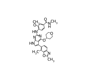 CNC(=O)c1ccc(Nc2nc(OC3CCOCC3)c3c(-c4ccc5nc(C)oc5c4C)c[nH]c3n2)c(OC)c1